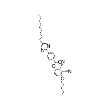 CCCCCCCCCc1cnc(-c2ccc(C(=O)Oc3ccc(OCCCCC)c(C#N)c3C#N)cc2)nc1